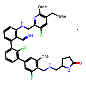 CNCc1cc(Cl)c(CNc2cccc(-c3cccc(-c4cc(F)c(CNCC5CCC(=O)N5)c(OC)c4)c3Cl)c2C=N)nc1OC